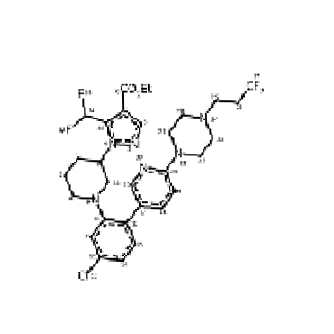 CCOC(=O)c1cnn(C2CCCN(c3cc(Cl)ccc3-c3ccc(N4CCN(CCC(F)(F)F)CC4)nc3)C2)c1C(F)F